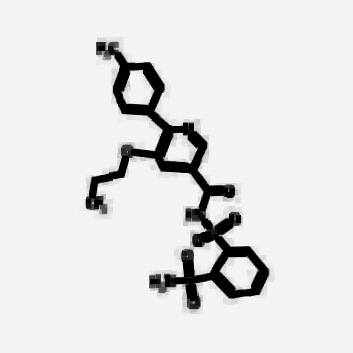 NS(=O)(=O)c1ccccc1S(=O)(=O)NC(=O)c1cnc(-c2ccc(C(F)(F)F)cc2)c(OCCC(F)(F)F)c1